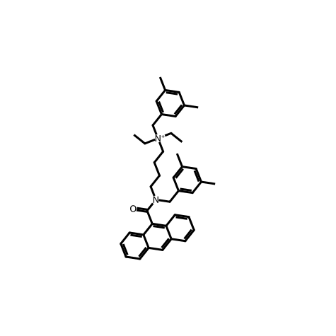 CC[N+](CC)(CCCCN(Cc1cc(C)cc(C)c1)C(=O)c1c2ccccc2cc2ccccc12)Cc1cc(C)cc(C)c1